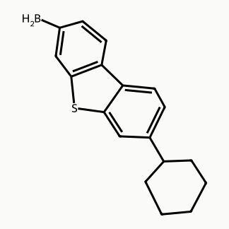 Bc1ccc2c(c1)sc1cc(C3CCCCC3)ccc12